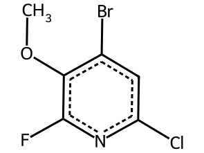 COc1c(Br)cc(Cl)nc1F